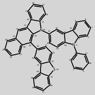 c1ccc(-n2c3ccccc3c3cc(-n4c5ccccc5c5cc6ccccc6c(-c6ccc7sc8ccccc8c7c6)c54)ccc32)cc1